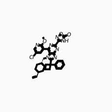 C=C[C@H]1CC[C@H](Cn2c(C3(c4ccccc4)CCC3)nc3nc(-c4noc(=O)[nH]4)nc(-c4cc(Cl)cnc4OC)c32)CC1